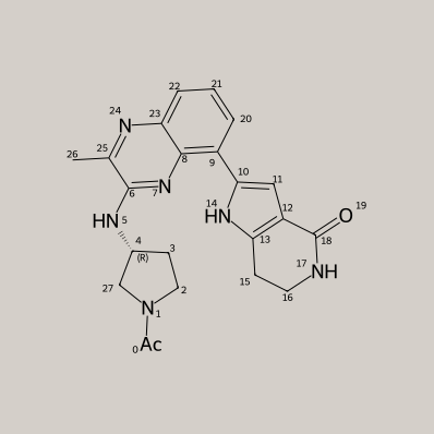 CC(=O)N1CC[C@@H](Nc2nc3c(-c4cc5c([nH]4)CCNC5=O)cccc3nc2C)C1